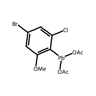 COc1cc(Br)cc(Cl)[c]1[Pb]([O]C(C)=O)[O]C(C)=O